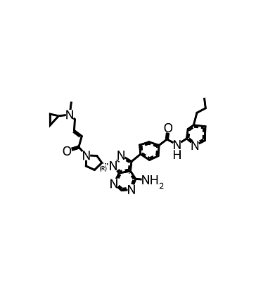 CCCc1ccnc(NC(=O)c2ccc(-c3nn([C@@H]4CCN(C(=O)C=CCN(C)C5CC5)C4)c4ncnc(N)c34)cc2)c1